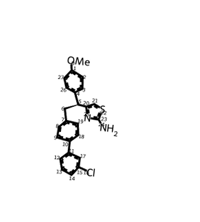 COc1ccc([C@H](Cc2ccc(-c3cccc(Cl)c3)cc2)c2csc(N)n2)cc1